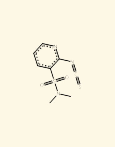 CN(C)S(=O)(=O)c1cccnc1N=C=S